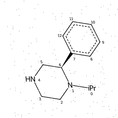 CC(C)N1CCNC[C@H]1c1ccccc1